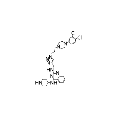 Clc1ccc(N2CCN(CCCn3cc(CNc4nc(NC5CCNCC5)c5ccccc5n4)nn3)CC2)cc1Cl